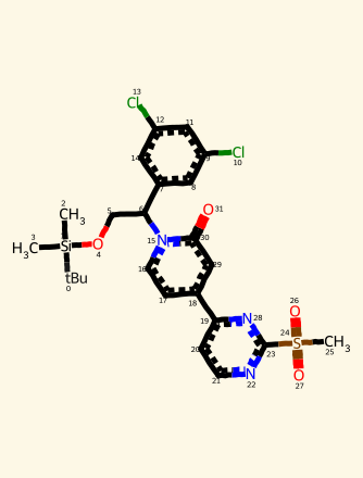 CC(C)(C)[Si](C)(C)OCC(c1cc(Cl)cc(Cl)c1)n1ccc(-c2ccnc(S(C)(=O)=O)n2)cc1=O